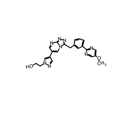 COc1cnc(-c2cccc(Cc3nnc4ncc(-c5cnn(CCO)c5)cn34)c2)nc1